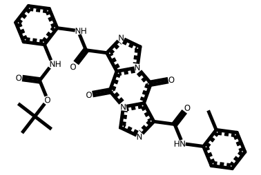 Cc1ccccc1NC(=O)c1ncn2c(=O)c3c(C(=O)Nc4ccccc4NC(=O)OC(C)(C)C)ncn3c(=O)c12